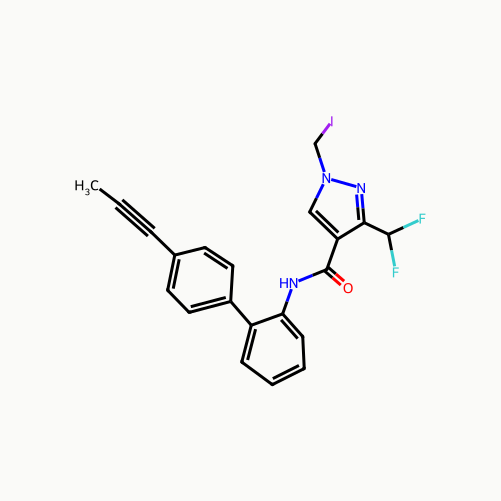 CC#Cc1ccc(-c2ccccc2NC(=O)c2cn(CI)nc2C(F)F)cc1